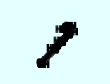 CC(C)(C)NC(CCCCNC(C)(C)C(=O)CCOCCOCCNC(=O)CCOCCOCCNC(=O)CCCCCCCCCCCCCCCCCCC(=O)O)C(=O)NC(C)(C)S